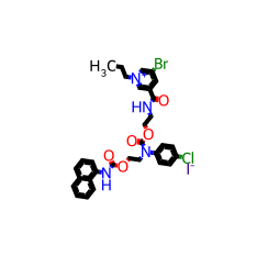 CCC[n+]1cc(Br)cc(C(=O)NCCOC(=O)N(CCOC(=O)Nc2cccc3ccccc23)c2ccc(Cl)cc2)c1.[I-]